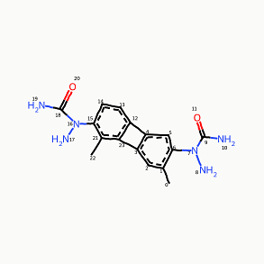 Cc1cc2c(cc1N(N)C(N)=O)-c1ccc(N(N)C(N)=O)c(C)c1-2